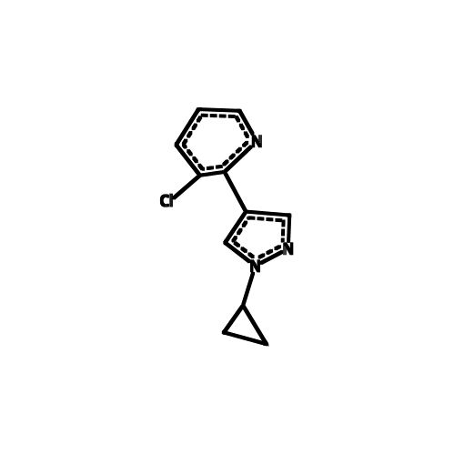 Clc1cccnc1-c1cnn(C2CC2)c1